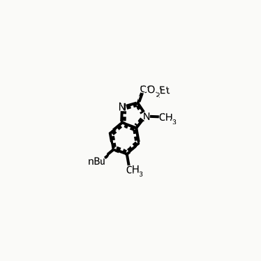 CCCCc1cc2nc(C(=O)OCC)n(C)c2cc1C